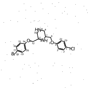 Clc1ccc(OCC2CNCC(COc3ccc(Br)cc3)N2)cc1